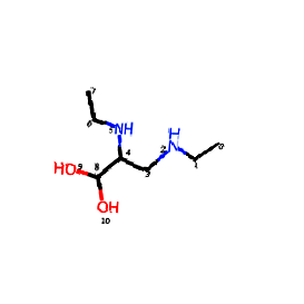 CCNCC(NCC)C(O)O